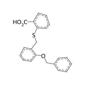 O=C(O)c1ccccc1SCc1ccccc1OCc1ccccc1